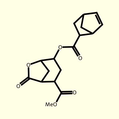 COC(=O)C1CC(OC(=O)C2CC3C=CC2C3)C2CC1C(=O)O2